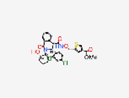 COC(=O)c1csc(CONC(=O)[C@@H]2c3ccccc3C(=O)N([C@H]3CCCC[C@@H]3O)[C@H]2c2ccc(Cl)cc2Cl)c1